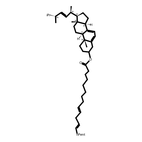 CCCCCC=CCC=CCCCCCCCC(=O)OC1CC[C@@]2(C)C(=CC=C3[C@@H]4CC[C@H]([C@H](C)C=C[C@H](C)C(C)C)[C@@]4(C)CC[C@@H]32)C1